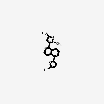 Cc1cc(-c2nccc3c(-c4ccc(C)s4)cccc23)n(C)n1